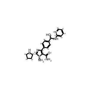 NC(=O)c1c(-c2ccc(C(O)Nc3ccccn3)cc2)nc([C@@H]2CCCN2)n1N